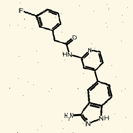 Nc1n[nH]c2ccc(-c3ccnc(NC(=O)Cc4cccc(F)c4)c3)cc12